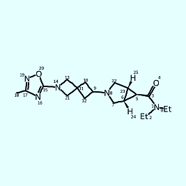 CCN(CC)C(=O)[C@H]1[C@@H]2CN(C3CC4(C3)CN(c3nc(C)no3)C4)C[C@@H]21